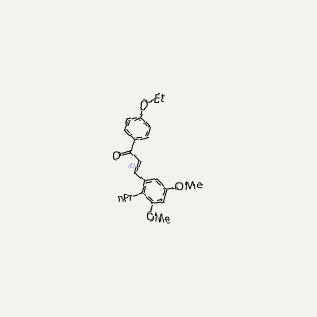 CCCc1c(/C=C/C(=O)c2ccc(OCC)cc2)cc(OC)cc1OC